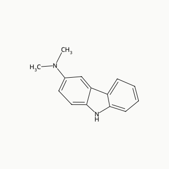 CN(C)c1ccc2[nH]c3ccccc3c2c1